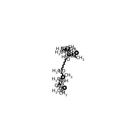 CCC(NC(=O)[C@@H]1C[C@H](NC(=O)CCCCCCCC(=O)N(C)CCc2cc(OC)c(Nc3ncc(Cl)c(Nc4ccccc4S(=O)(=O)C(C)C)n3)cc2C)CN1C(=O)[C@@H](NC(=O)[C@H](C)NC)C(C)(C)C)c1ccccc1